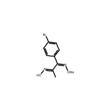 CON=C(C(C)=NO)c1ccc(Br)cc1